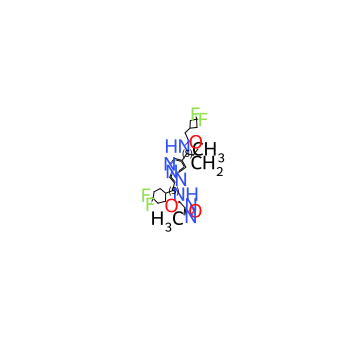 C=C(C)[C@H](NC(=O)CC1CC(F)(F)C1)c1cnn2cc([C@@H](NC(=O)c3nonc3C)C3CCC(F)(F)CC3)nc2c1